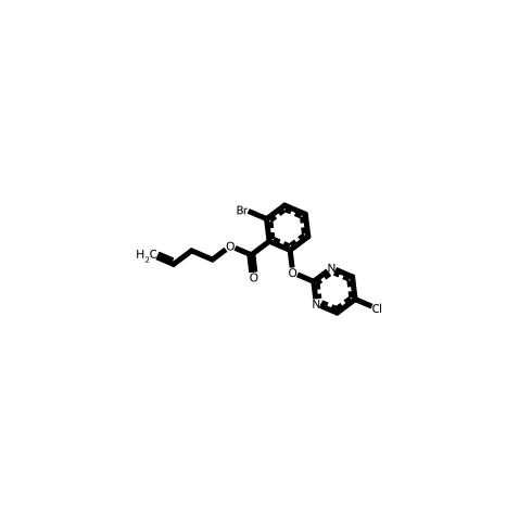 C=CCCOC(=O)c1c(Br)cccc1Oc1ncc(Cl)cn1